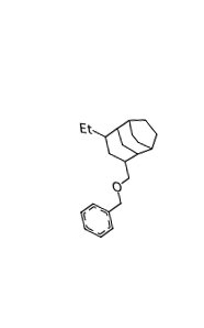 CCC1CC(COCc2ccccc2)C2CC1C1CCC2CC1